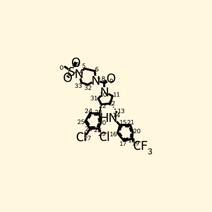 CS(=O)(=O)N1CCN(C(=O)N2C[C@H](CNc3ccc(C(F)(F)F)cc3)[C@@H](c3ccc(Cl)c(Cl)c3)C2)CC1